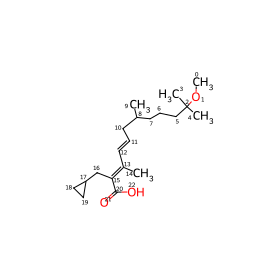 COC(C)(C)CCCC(C)CC=CC(C)=C(CC1CC1)C(=O)O